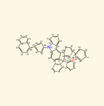 c1ccc2c(c1)-c1ccccc1C2(c1ccc2c(c1)c1ccccc1n2-c1ccc(-c2cccc3ccccc23)cc1)c1cccc2c1oc1ccccc12